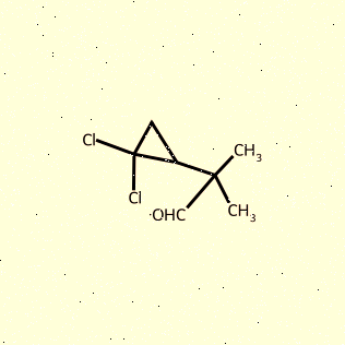 CC(C)([C]=O)C1CC1(Cl)Cl